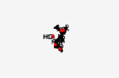 CCOC(=O)c1cccc(C(=O)NCc2nc(-c3ccc(OC(F)F)c(OCC4CC4)c3)oc2C(C)N)n1.Cl.Cl